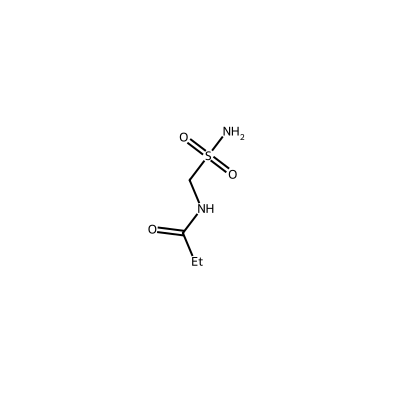 CCC(=O)NCS(N)(=O)=O